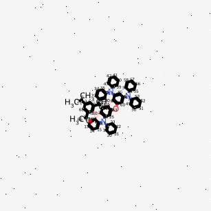 CC(C)c1cc(C(C)C)c(B2c3ccccc3N(c3ccccc3)c3cc4c(cc32)B2c3ccccc3N(c3ccccc3)c3cc(N(c5ccccc5)c5ccccc5)cc(c32)O4)c(C(C)C)c1